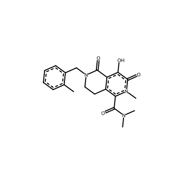 Cc1ccccc1CN1CCc2c(c(O)c(=O)n(C)c2C(=O)N(C)C)C1=O